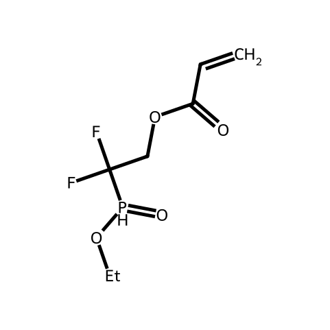 C=CC(=O)OCC(F)(F)[PH](=O)OCC